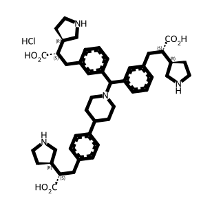 Cl.O=C(O)[C@@H](Cc1ccc(C2CCN(C(c3cccc(C[C@H](C(=O)O)[C@H]4CCNC4)c3)c3cccc(C[C@H](C(=O)O)[C@H]4CCNC4)c3)CC2)cc1)[C@H]1CCNC1